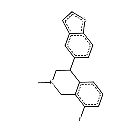 CN1Cc2c(F)cccc2C(c2ccc3sccc3c2)C1